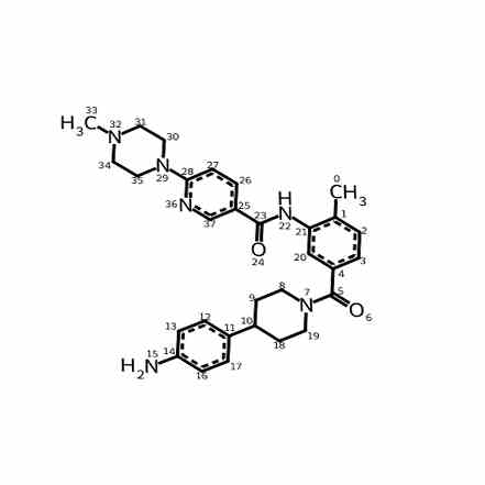 Cc1ccc(C(=O)N2CCC(c3ccc(N)cc3)CC2)cc1NC(=O)c1ccc(N2CCN(C)CC2)nc1